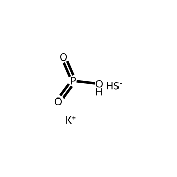 O=P(=O)O.[K+].[SH-]